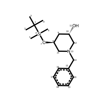 CC(C)(C)[Si](C)(C)O[C@H]1C[C@H](O)CN(Cc2ccccc2)C1